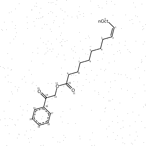 CCCCCCCC/C=C\CCCCCCCC(=O)OCC(=O)c1ccccc1